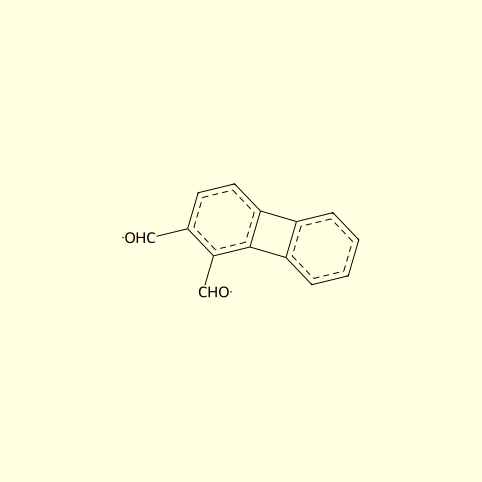 O=[C]c1ccc2c(c1[C]=O)-c1ccccc1-2